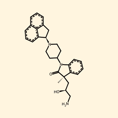 C[C@]1(C[C@H](O)CN)C(=O)N(C2CCN([C@@H]3Cc4cccc5cccc3c45)CC2)c2ccccc21